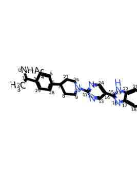 CC(=O)NC(C)c1ccc(C2CCN(c3ncc(-c4nc5ccccc5[nH]4)cn3)CC2)cc1